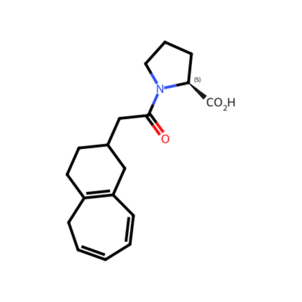 O=C(O)[C@@H]1CCCN1C(=O)CC1CCC2=C(C=CC=CC2)C1